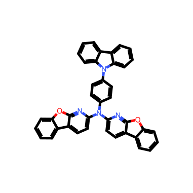 c1ccc2c(c1)oc1nc(N(c3ccc(-n4c5ccccc5c5ccccc54)cc3)c3ccc4c(n3)oc3ccccc34)ccc12